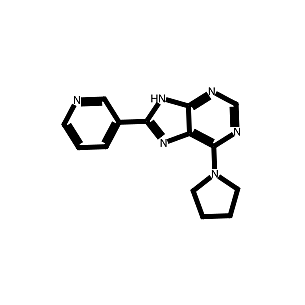 c1cncc(-c2nc3c(N4CCCC4)ncnc3[nH]2)c1